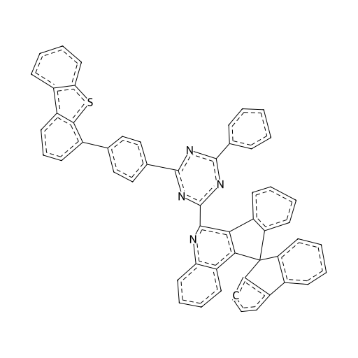 c1ccc(-c2nc(-c3ccc(-c4cccc5c4sc4ccccc45)cc3)nc(-c3nc4ccccc4c4c3-c3ccccc3C43c4ccccc4-c4ccccc43)n2)cc1